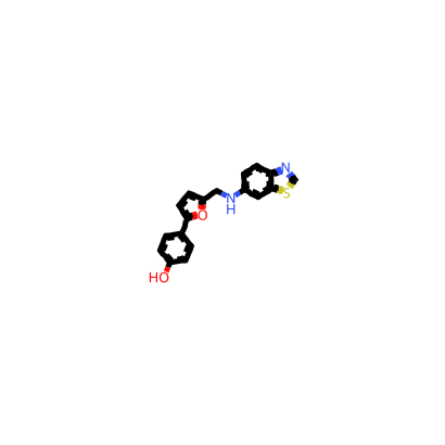 Oc1ccc(-c2ccc(CNc3ccc4ncsc4c3)o2)cc1